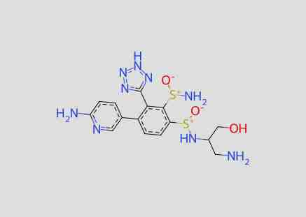 NCC(CO)N[S+]([O-])c1ccc(-c2ccc(N)nc2)c(-c2nn[nH]n2)c1[S+](N)[O-]